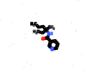 CCCC(C)(CC)NC(=O)c1cccnc1